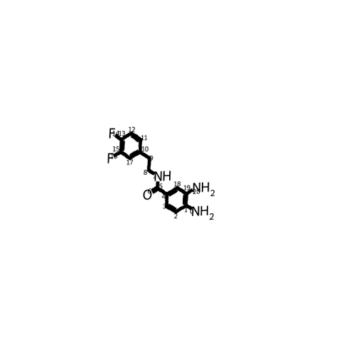 Nc1ccc(C(=O)NCCc2ccc(F)c(F)c2)cc1N